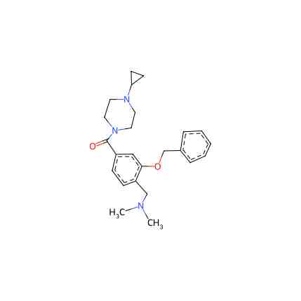 CN(C)Cc1ccc(C(=O)N2CCN(C3CC3)CC2)cc1OCc1ccccc1